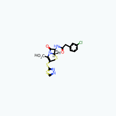 O=C(Cc1cccc(Cl)c1)N[C@@H]1C(=O)N2C(C(=O)O)=C(Sc3nncs3)CS[C@@H]12